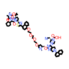 CC(C(=O)NC(C(=O)N1CCC[C@H]1c1nc(-c2ccc(OCCOCCOCCO[C@@H]3C[C@@H](COc4nc5c(c(N6CCN(C(=O)O)[C@@H](CC#N)C6)n4)CCN(c4cccc6ccccc46)C5)N(C)C3)c3ccccc23)cs1)C1CCCCC1)N(C)C(=O)OC(C)(C)C